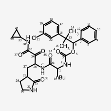 CCCCC(NC(=O)OC(c1ccccc1)C(C)(C)c1cccc(Cl)c1)C(=O)NC(CC1CCNC1=O)C(=O)C(=O)NC1CC1